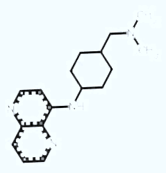 CN(C)CC1CCC(Nc2ccnc3cccnc23)CC1